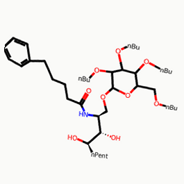 CCCCC[C@@H](O)[C@@H](O)[C@H](COC1OC(COCCCC)C(OCCCC)C(OCCCC)C1OCCCC)NC(=O)CCCCc1ccccc1